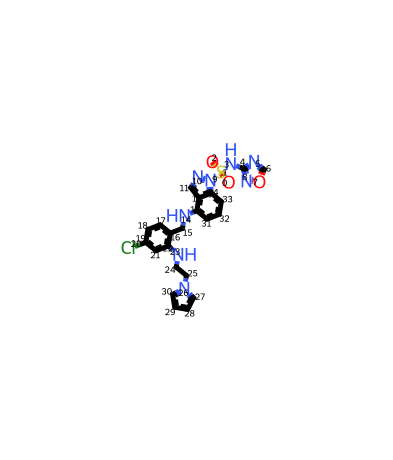 O=S(=O)(Nc1ncon1)n1ncc2c(NCc3ccc(Cl)cc3NCCn3cccc3)cccc21